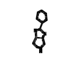 c1ccc(-c2nc3cc[nH]cc-3n2)cc1